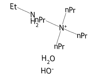 CCC[N+](CCC)(CCC)CCC.CCN.O.[OH-]